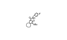 CCCCn1c2c(cc(C(=O)NCc3ccc(F)cc3)c1=O)CCCCCC2